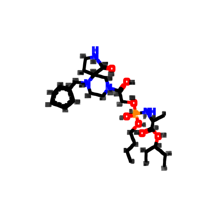 CCCCOP(=O)(NC(C)C(=O)OC(CC)CC)OCC(=O)N1CCN(Cc2ccccc2)C2(CCNC2=O)C1